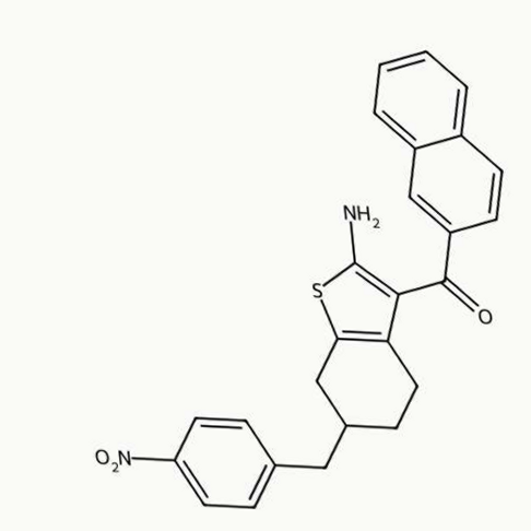 Nc1sc2c(c1C(=O)c1ccc3ccccc3c1)CCC(Cc1ccc([N+](=O)[O-])cc1)C2